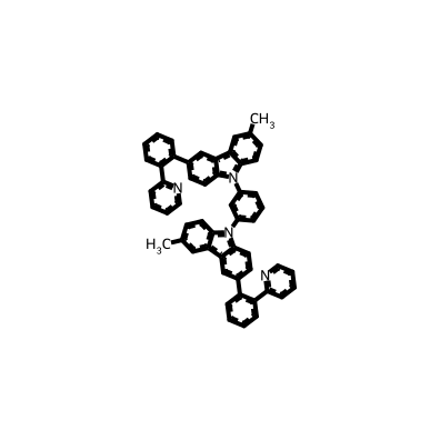 Cc1ccc2c(c1)c1cc(-c3ccccc3-c3ccccn3)ccc1n2-c1cccc(-n2c3ccc(C)cc3c3cc(-c4ccccc4-c4ccccn4)ccc32)c1